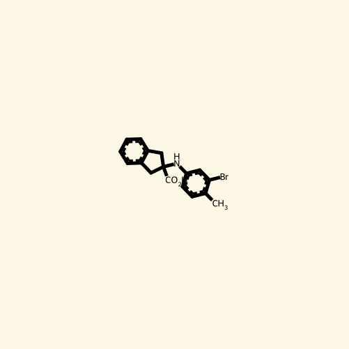 Cc1ccc(NC2(C(=O)O)Cc3ccccc3C2)cc1Br